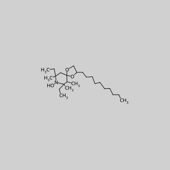 CCCCCCCCCCC1COC2(CC(C)(CC)N(O)C(C)(CC)C2C)O1